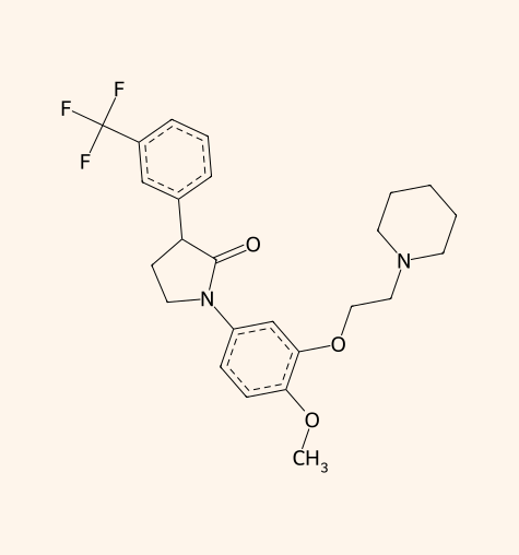 COc1ccc(N2CCC(c3cccc(C(F)(F)F)c3)C2=O)cc1OCCN1CCCCC1